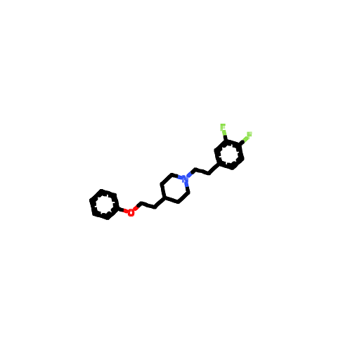 Fc1ccc(CCN2CCC(CCOc3ccccc3)CC2)cc1F